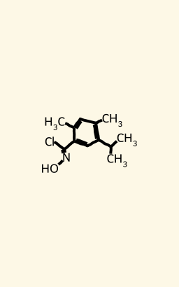 Cc1cc(C)c(C(C)C)cc1/C(Cl)=N/O